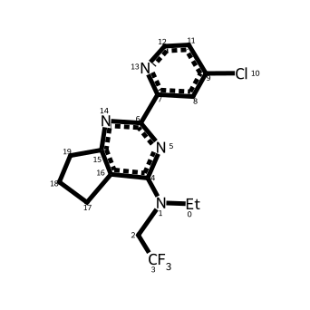 CCN(CC(F)(F)F)c1nc(-c2cc(Cl)ccn2)nc2c1CCC2